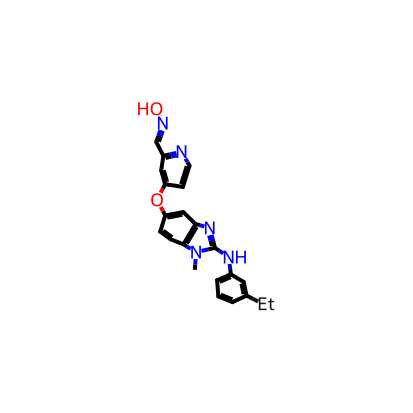 CCc1cccc(Nc2nc3cc(Oc4ccnc(/C=N/O)c4)ccc3n2C)c1